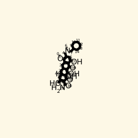 COc1c(CN(C)CC2CCCCCC2)cc(O)c2c1CC1C[C@H]3CC(O)=C(C(N)=O)C(=O)[C@@]3(O)C(O)=C1C2=O